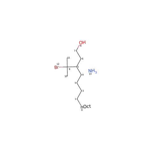 CCCCCCCCCCCCC(CCO)C(C)(C)Br.N